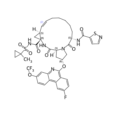 CC1(S(=O)(=O)NC(=O)[C@@]23C[C@H]2/C=C\CCCCC[C@H](NC(=O)c2ccns2)C(=O)N2C[C@H](Oc4nc5cc(OC(F)(F)F)ccc5c5cc(F)ccc45)C[C@H]2C(=O)N3)CC1